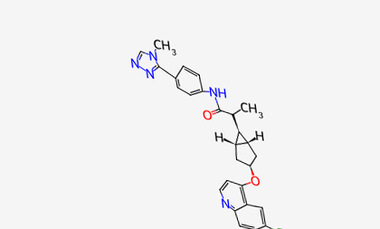 CC(C(=O)Nc1ccc(-c2nncn2C)cc1)[C@H]1[C@@H]2C[C@@H](Oc3ccnc4ccc(F)cc34)C[C@@H]21